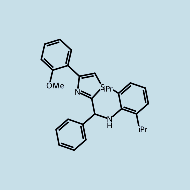 COc1ccccc1-c1csc(C(Nc2c(C(C)C)cccc2C(C)C)c2ccccc2)n1